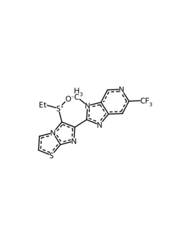 CC[S+]([O-])c1c(-c2nc3cc(C(F)(F)F)ncc3n2C)nc2sccn12